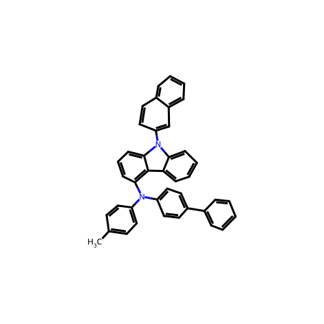 Cc1ccc(N(c2ccc(-c3ccccc3)cc2)c2cccc3c2c2ccccc2n3-c2ccc3ccccc3c2)cc1